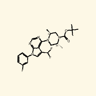 C[C@@H]1CN(c2ncnc3c2c(C(F)F)cn3-c2cccc(F)c2)[C@@H](C)CN1C(=O)OC(C)(C)C